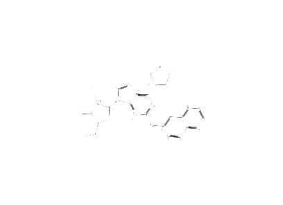 OCC1OC(n2cnc3c(N4CCCC4)nc(Nc4ccc5ncccc5c4)nc32)C(O)C1O